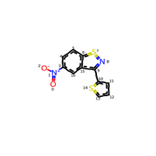 O=[N+]([O-])c1ccc2snc(-c3cccs3)c2c1